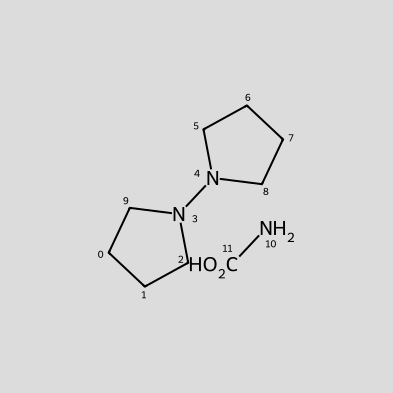 C1CCN(N2CCCC2)C1.NC(=O)O